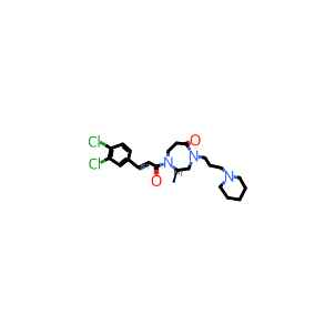 C[C@@H]1CN(CCCN2CCCCC2)C(=O)CCN1C(=O)/C=C/c1ccc(Cl)c(Cl)c1